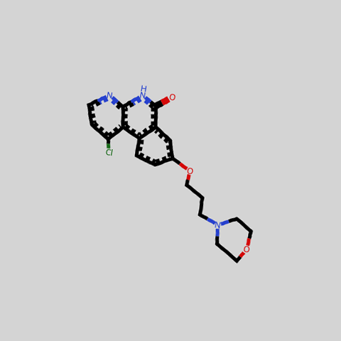 O=c1[nH]c2nccc(Cl)c2c2ccc(OCCCN3CCOCC3)cc12